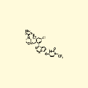 Cc1cc(Cl)cc(-c2ncnn3cc(Cn4c(=O)ccn(CC(F)(F)F)c4=O)cc23)c1C[C@@H]1CN(C(=O)OC(C)(C)C)CCO1